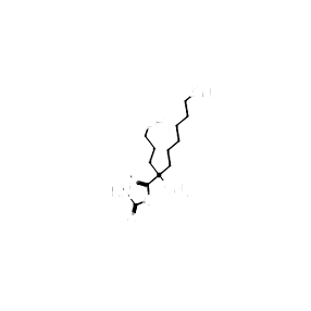 CCCCCCCC(C)(CCCC)c1n[nH]c(=O)o1